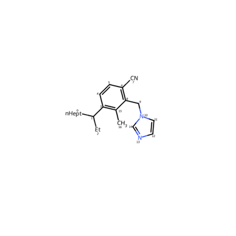 CCCCCCCC(CC)c1ccc(C#N)c(Cn2ccnc2)c1C